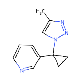 Cc1cn(C2(c3cccnc3)CC2)nn1